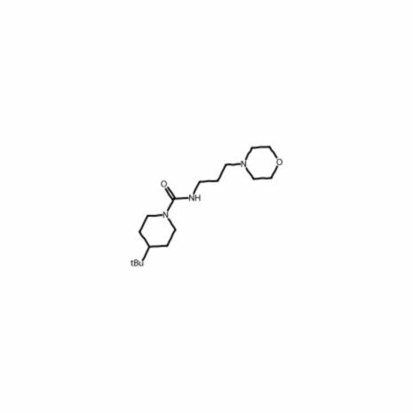 CC(C)(C)C1CCN(C(=O)NCCCN2CCOCC2)CC1